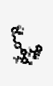 CN1CCN(CCCN2CCC(n3cc(NC(=O)c4c(N)nn5cccnc45)c(-c4cc(Cl)ccc4OC(F)F)n3)CC2)C1O